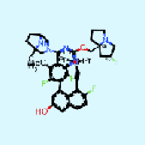 COc1c(F)c(-c2cc(O)cc3ccc(F)c(C#C[Si](C(C)C)(C(C)C)C(C)C)c23)c(F)c2nc(OC[C@@]34CCCN3C[C@H](F)C4)nc(N3CC4CCC(C)(C3)N4)c12